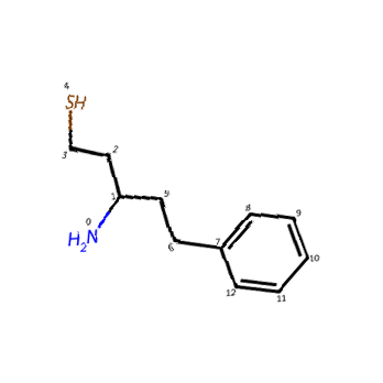 NC(CCS)CCc1ccccc1